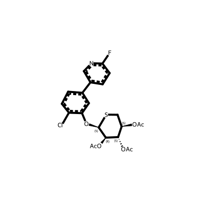 CC(=O)O[C@@H]1[C@@H](OC(C)=O)[C@@H](Oc2cc(-c3ccc(F)nc3)ccc2Cl)SC[C@H]1OC(C)=O